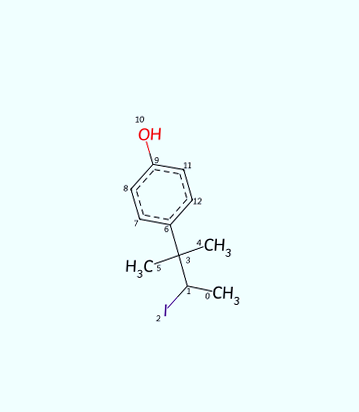 CC(I)C(C)(C)c1ccc(O)cc1